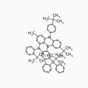 Cc1cc2c3c(c1)N(c1ccccc1C(C)(C)C)c1ccc([Si](c4ccccc4)(c4ccccc4)C(C)(C)C)cc1B3c1cc(C(C)(C)C)ccc1N2c1ccc(C(C)(C)C)cc1